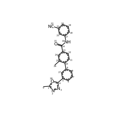 Cc1nnc(-c2cccc(-c3ccc(C(=O)Nc4cccc(C#N)c4)cc3C)c2)o1